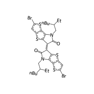 CCCCC(CC)CN1C(=O)C(=C2C(=O)N(CC(CC)CCCC)c3c2sc2cc(Br)sc32)c2sc3cc(Br)sc3c21